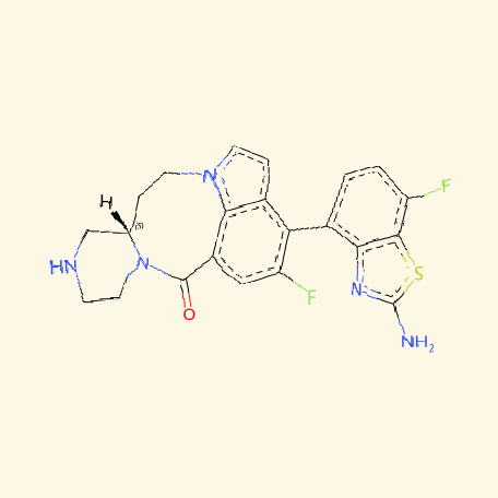 Nc1nc2c(-c3c(F)cc4c5c3ccn5CC[C@H]3CNCCN3C4=O)ccc(F)c2s1